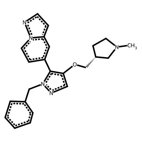 CN1CC[C@@H](COc2cnn(Cc3ccccc3)c2-c2ccn3nccc3c2)C1